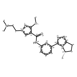 COc1nn(CCN(C)C)cc1C(=O)Nc1cccc(-c2nnc3n2[C@@H](C)CC3)n1